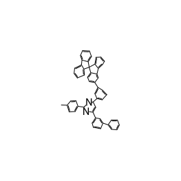 Cc1ccc(-c2nc(-c3cccc(-c4ccccc4)c3)cc(-c3cccc(-c4ccc5c(c4)-c4ccccc4C54c5ccccc5-c5ccccc54)c3)n2)cc1